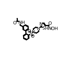 CC(=O)NCc1cccc(-c2ccccc2S(=O)(=O)N2CCN(c3ncc(C(=O)NO)s3)CC2)c1